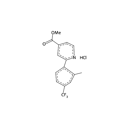 COC(=O)c1ccnc(-c2ccc(C(F)(F)F)cc2C)c1.Cl